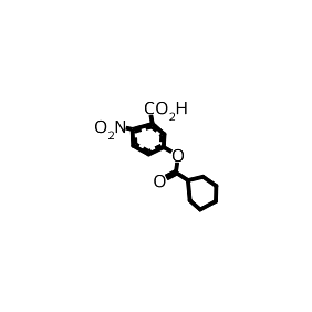 O=C(O)c1cc(OC(=O)C2CCCCC2)ccc1[N+](=O)[O-]